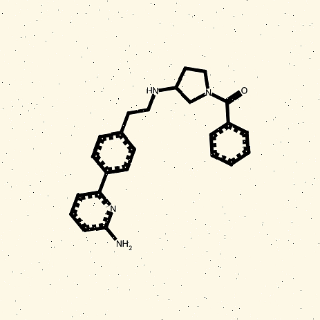 Nc1cccc(-c2ccc(CCNC3CCN(C(=O)c4ccccc4)C3)cc2)n1